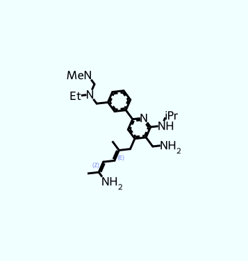 CCN(CNC)Cc1cccc(-c2cc(C/C(C)=C/C=C(/C)N)c(CN)c(NC(C)C)n2)c1